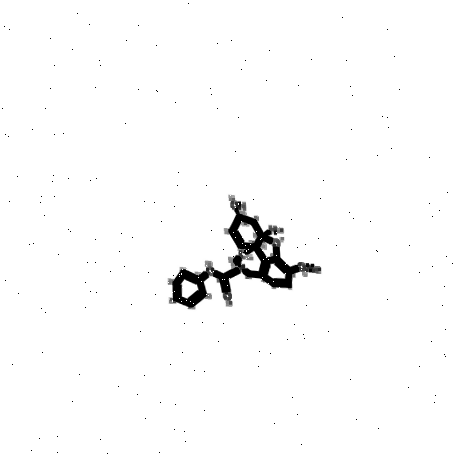 COc1ccc2c3c1O[C@H]1C[C@@H](O)C=C[C@@]31CCN(C(=O)Oc1ccccc1)C2